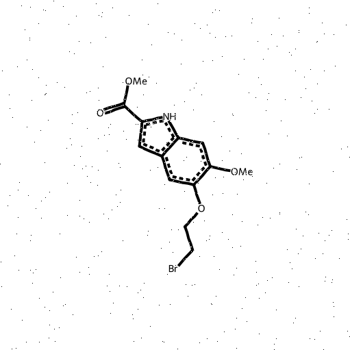 COC(=O)c1cc2cc(OCCBr)c(OC)cc2[nH]1